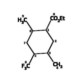 CCOC(=O)C1CC(C)C(C(F)(F)F)CC1C